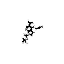 CC(C)c1cnc2c(c1OCC#N)CCN2C(=O)OC(C)(C)C